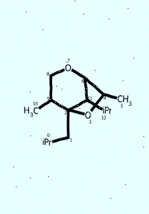 CC(C)CC12OC(C)C(OCC1C)C2C(C)C